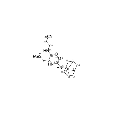 CSCC(NC(=O)NC12CC3CC(CC(C3)C1)C2)C(=O)NCCC#N